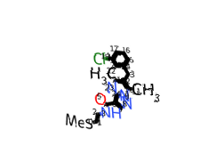 CSCCNC(=O)c1cnn2c(C)c(Cc3cccc(Cl)c3)c(C)nc12